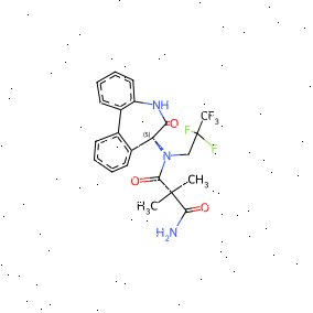 CC(C)(C(N)=O)C(=O)N(CC(F)(F)C(F)(F)F)[C@@H]1C(=O)Nc2ccccc2-c2ccccc21